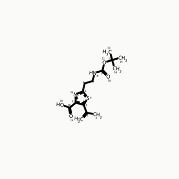 C=C(C)c1sc(CCNC(=O)OC(C)(C)C)nc1C(=O)O